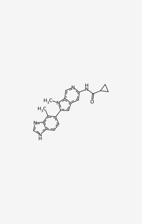 Cc1c(-c2cc3cc(NC(=O)C4CC4)ncc3n2C)ccc2[nH]cnc12